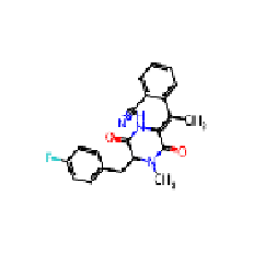 CC(=C1NC(=O)C(Cc2ccc(F)cc2)N(C)C1=O)c1ccccc1C#N